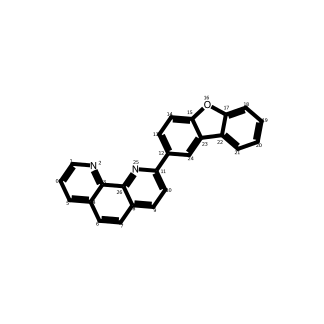 c1cnc2c(c1)ccc1ccc(-c3ccc4oc5ccccc5c4c3)nc12